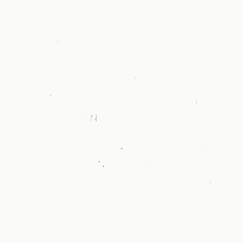 O=C1C(=O)c2c(ncn2C2CCOCC2)-c2ccccc21